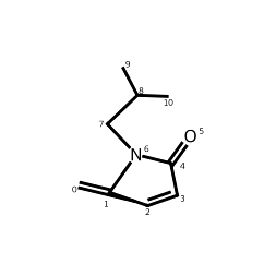 C=C1C=CC(=O)N1CC(C)C